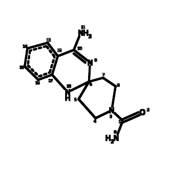 NC(=O)N1CCC2(CC1)N=C(N)c1ccccc1N2